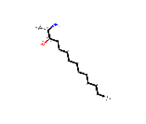 CCCCCCCCCCC[C@@H](O)[C@H](C)N